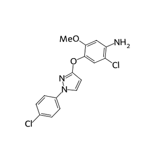 COc1cc(N)c(Cl)cc1Oc1ccn(-c2ccc(Cl)cc2)n1